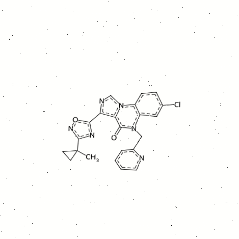 CC1(c2noc(-c3ncn4c3c(=O)n(Cc3ccccn3)c3cc(Cl)ccc34)n2)CC1